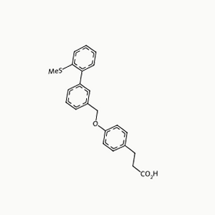 CSc1ccccc1-c1cccc(COc2ccc(CCC(=O)O)cc2)c1